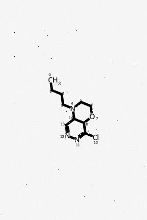 CCCCN1CCOC2C(Cl)=NN=CC21